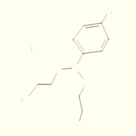 Cl.O=Nc1ccc(N(OCCO)OCCO)cc1